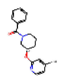 N#Cc1ccnc(O[C@@H]2CCCN(C(=O)c3ccccc3)C2)c1